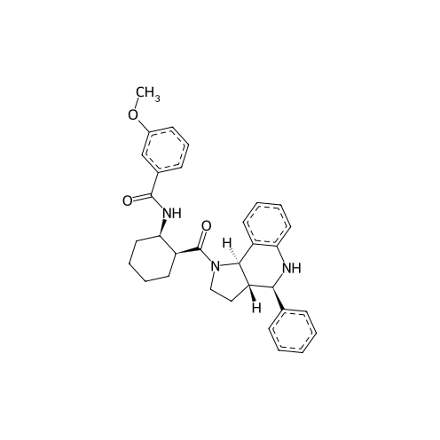 COc1cccc(C(=O)N[C@@H]2CCCC[C@@H]2C(=O)N2CC[C@H]3[C@H](c4ccccc4)Nc4ccccc4[C@@H]32)c1